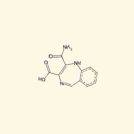 NC(=O)C1=C(C(=O)O)N=Cc2ccccc2N1